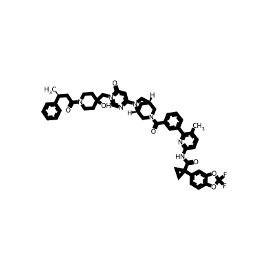 Cc1ccc(NC(=O)C2(c3ccc4c(c3)OC(F)(F)O4)CC2)nc1-c1cccc(C(=O)N2C[C@@H]3C[C@H](C2)N(c2cc(=O)n(CC4(O)CCN(C(=O)C[C@@H](C)c5ccccc5)CC4)cn2)C3)c1